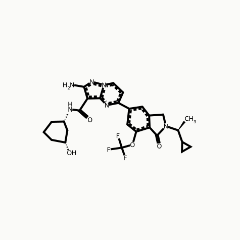 C[C@@H](C1CC1)N1Cc2cc(-c3ccn4nc(N)c(C(=O)N[C@H]5CCC[C@@H](O)C5)c4n3)cc(OC(F)(F)F)c2C1=O